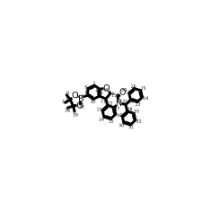 CC1(C)OB(c2ccc3c(c2)C(c2ccccc2N(C=O)C(c2ccccc2)c2ccccc2)CO3)OC1(C)C